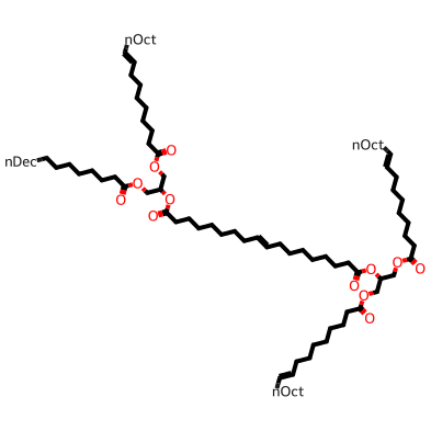 CCCCCCCCC=CCCCCCCCC(=O)OCC(COC(=O)CCCCCCCC=CCCCCCCCC)OC(=O)CCCCCCCC=CCCCCCCCC(=O)OC(COC(=O)CCCCCCCC=CCCCCCCCC)COC(=O)CCCCCCCCCCCCCCCCC